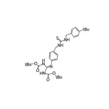 CC(C)(C)OC(=O)NC(=Nc1ccc(CNC(=S)NCc2ccc(C(C)(C)C)cc2)cc1)NC(=O)OC(C)(C)C